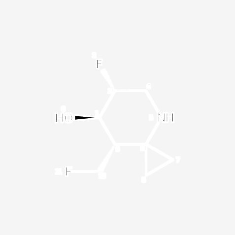 O[C@H]1[C@H](F)CNC2(CC2)[C@@H]1CF